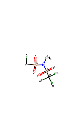 CN(S(=O)(=O)CF)S(=O)(=O)C(F)(F)F